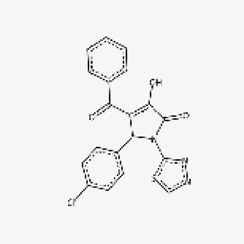 O=C(C1=C(O)C(=O)N(c2nncs2)C1c1ccc(Cl)cc1)c1ccccc1